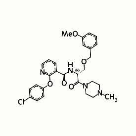 COc1cccc(COC[C@@H](NC(=O)c2cccnc2Oc2ccc(Cl)cc2)C(=O)N2CCN(C)CC2)c1